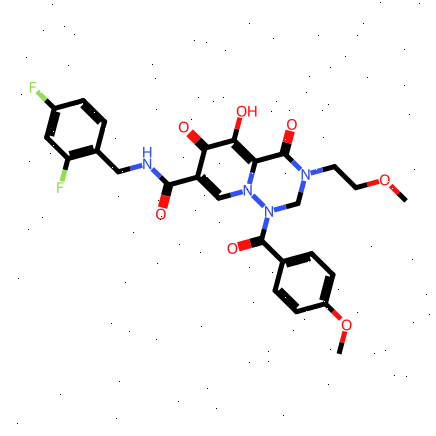 COCCN1CN(C(=O)c2ccc(OC)cc2)n2cc(C(=O)NCc3ccc(F)cc3F)c(=O)c(O)c2C1=O